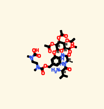 COC(=O)[C@H]1O[C@@H](Oc2cc(COC(=O)N(C)CCN(C)C(=O)O)ccc2NC(=O)[C@H](C)NC(=O)[C@@H](N)C(C)C)[C@H](OC(C)=O)[C@@H](OC(C)=O)[C@@H]1OC(C)=O